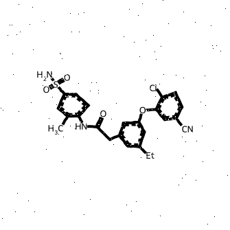 CCc1cc(CC(=O)Nc2ccc(S(N)(=O)=O)cc2C)cc(Oc2cc(C#N)ccc2Cl)c1